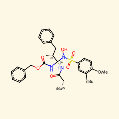 CCCCc1cc(S(=O)(=O)N(O)[C@@](NC(=O)C[C@@H](C)CC)(NC(=O)OCc2ccccc2)[C@H](C)Cc2ccccc2)ccc1OC